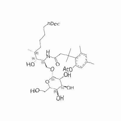 CCCCCCCCCCCCCC[C@@H](C)[C@@H](O)[C@H](CO[C@H]1OC(CO)[C@H](O)[C@H](O)C1O)NC(=O)CC(C)(C)c1c(C)cc(C)cc1OC(C)=O